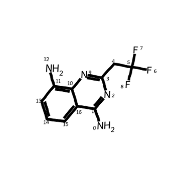 Nc1nc(CC(F)(F)F)nc2c(N)cccc12